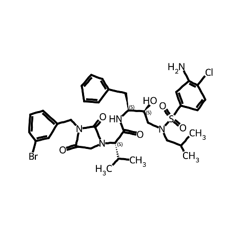 CC(C)CN(C[C@H](O)[C@H](Cc1ccccc1)NC(=O)[C@H](C(C)C)N1CC(=O)N(Cc2cccc(Br)c2)C1=O)S(=O)(=O)c1ccc(Cl)c(N)c1